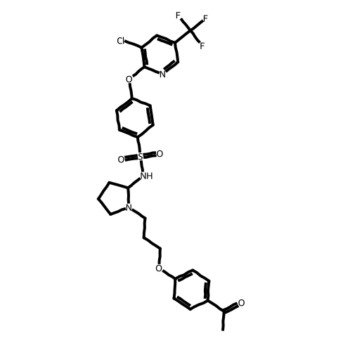 CC(=O)c1ccc(OCCCN2CCCC2NS(=O)(=O)c2ccc(Oc3ncc(C(F)(F)F)cc3Cl)cc2)cc1